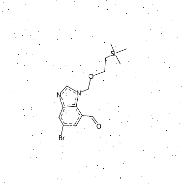 C[Si](C)(C)CCOCn1cnc2cc(Br)cc(C=O)c21